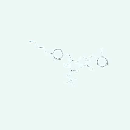 CCCCOc1ccc(C[C@H](NC(=O)OC(C)(C)C)[C@@H]2C[C@@H](Cc3ccccc3F)C(=O)O2)cc1